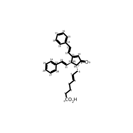 O=C(O)CCCC=CC[C@H]1C(=O)C=C(C=Cc2ccccc2)[C@@H]1C=Cc1ccccc1